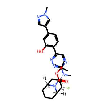 CN(c1ncc(-c2ccc(-c3cnn(C)c3)cc2O)nn1)[C@H]1C[C@@H]2CCC[C@H]([C@H]1F)N2C(=O)OC(C)(C)C